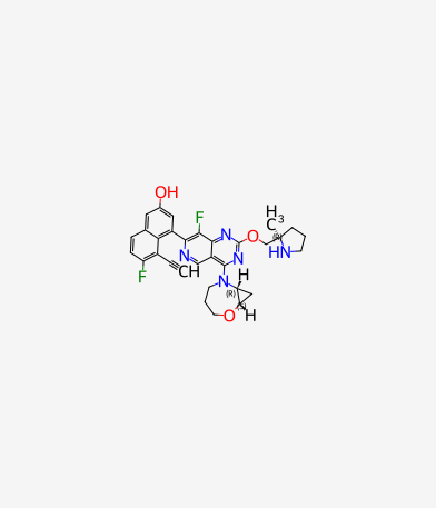 C#Cc1c(F)ccc2cc(O)cc(-c3ncc4c(N5CCCO[C@H]6C[C@H]65)nc(OC[C@@]5(C)CCCN5)nc4c3F)c12